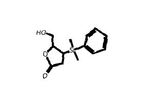 C[Si](C)(c1ccccc1)C1CC(=O)OC1CO